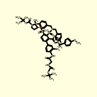 COc1ccc(CN(Cc2ccc(OC)cc2)S(=O)(=O)c2c(S(=O)(=O)N[C@@H]3CCN(C(=O)OC(C)(C)C)C3)ccc(-c3ccc(NC(=O)CNC(=O)OC(C)(C)C)c(N)c3)c2-c2nnn(Cc3ccc(OC)cc3)n2)cc1